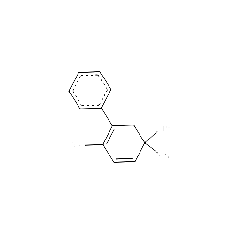 CCCC1(C#N)C=CC(C(=O)O)=C(c2ccccc2)C1